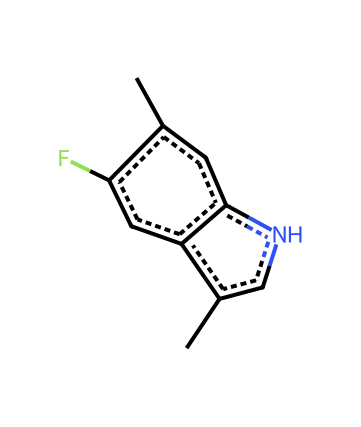 Cc1cc2[nH]cc(C)c2cc1F